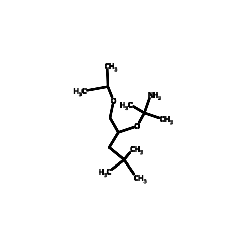 CC(C)OCC(CC(C)(C)C)OC(C)(C)N